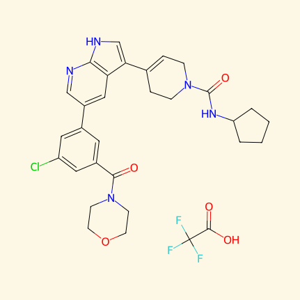 O=C(NC1CCCC1)N1CC=C(c2c[nH]c3ncc(-c4cc(Cl)cc(C(=O)N5CCOCC5)c4)cc23)CC1.O=C(O)C(F)(F)F